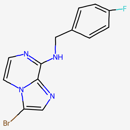 Fc1ccc(CNc2nccn3c(Br)cnc23)cc1